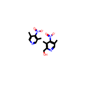 Cc1cnc(CO)c(C)c1[N+](=O)[O-].Cc1cncc(C)c1[N+](=O)[O-]